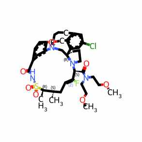 COCCN(CCOC)C(=O)[C@H]1/C(F)=C/C[C@H](C)[C@@H](C)S(=O)(=O)NC(=O)c2ccc3c(c2)N2CCCCc4cc(Cl)cc(c4CO3)[C@]3(CCCN13)C2